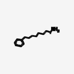 N[CH]CCCCCCCc1ccccc1